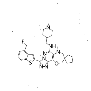 CN1CCC(CNc2nn3c(-c4cc5c(CF)cccc5s4)nnc3c3c2N(C)CC2(CCCC2)CO3)CC1